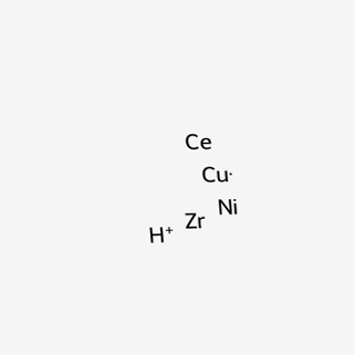 [Ce].[Cu].[H+].[Ni].[Zr]